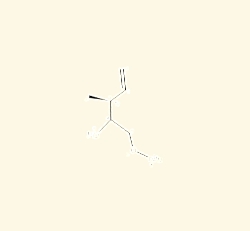 C=C[C@H](C)C(O)COCCCC